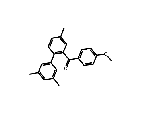 COc1ccc(C(=O)c2cc(C)ccc2-c2cc(C)cc(C)c2)cc1